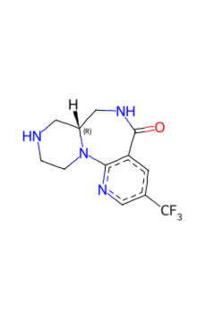 O=C1NC[C@H]2CNCCN2c2ncc(C(F)(F)F)cc21